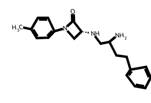 Cc1ccc(N2C[C@@H](NCC(N)CCc3ccccc3)C2=O)cc1